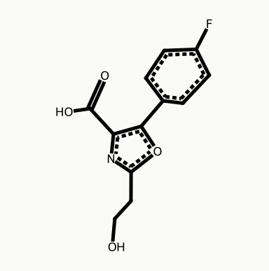 O=C(O)c1nc(CCO)oc1-c1ccc(F)cc1